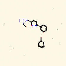 c1ccc(COc2cccc(-c3ccc4c(n3)OCCNC4)c2)cc1